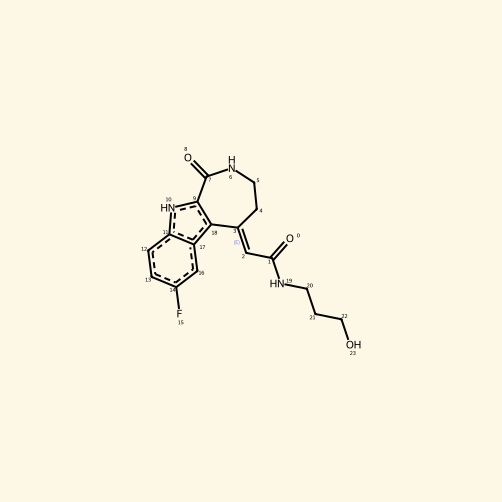 O=C(/C=C1\CCNC(=O)c2[nH]c3ccc(F)cc3c21)NCCCO